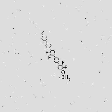 BCOc1ccc(-c2ccc(-c3ccc(C4=CCC(C5CCC(C=C)CC5)CC4)c(F)c3F)cc2)c(F)c1F